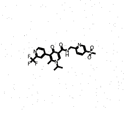 Cc1c(-c2ccnc(C(F)(F)F)c2)c(=O)c(C(=O)NCc2ccc(S(C)(=O)=O)cn2)cn1C(C)C